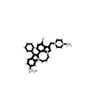 CN1CCN(Cc2cn3c4c(ccc(F)c24)-c2c(C4CCCCC4)c4ccc(C(=O)O)cc4n2CCC3)CC1